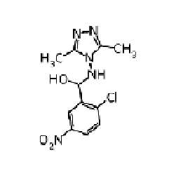 Cc1nnc(C)n1NC(O)c1cc([N+](=O)[O-])ccc1Cl